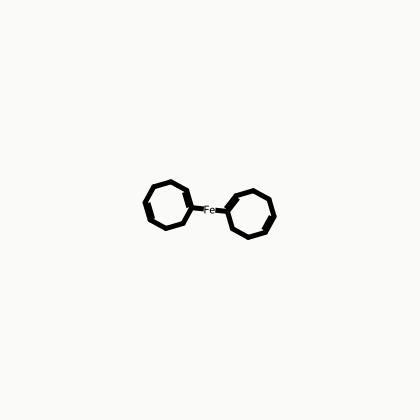 C1=CCC[C]([Fe][C]2=CCCC=CCC2)=CCC1